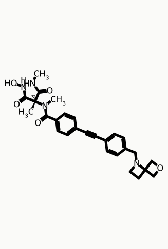 CNC(=O)[C@@](C)(C(=O)NO)N(C)C(=O)c1ccc(C#Cc2ccc(CN3CCC34COC4)cc2)cc1